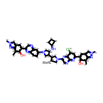 CN[C@H]1CN(c2cnc3nc(-c4cc5cn(C)nc5c(C)c4O)cc(Cl)c3n2)CC1C1CN(c2ccc3nc(-c4cc5cn(C)nc5c(C)c4O)cnc3c2)C[C@@H]1NC1CCC1